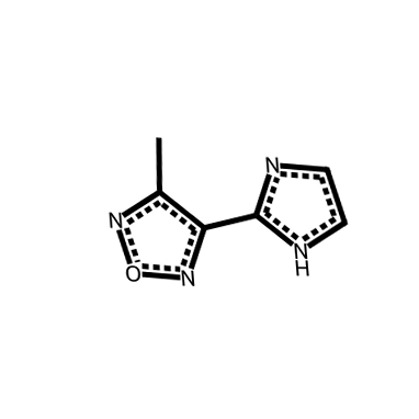 Cc1nonc1-c1ncc[nH]1